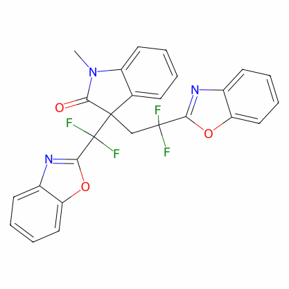 CN1C(=O)C(CC(F)(F)c2nc3ccccc3o2)(C(F)(F)c2nc3ccccc3o2)c2ccccc21